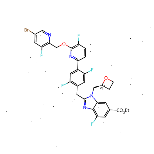 CCOC(=O)c1cc(F)c2nc(Cc3cc(F)c(-c4ccc(F)c(OCc5ncc(Br)cc5F)n4)cc3F)n(C[C@@H]3CCO3)c2c1